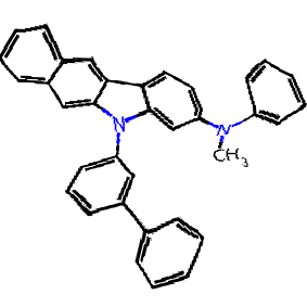 CN(c1ccccc1)c1ccc2c3cc4ccccc4cc3n(-c3cccc(-c4ccccc4)c3)c2c1